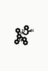 N#C/C1=C/CC/C(n2c3ccccc3c3cc4c5ccccc5n5c6c7ccccc7ccc6c(c32)c45)=N\c2ccccc21